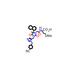 CSCCC(NC(=O)CN1C(=O)N(Cc2cncn2Cc2ccc(C#N)cc2)C(=O)C1(C)c1cccc2ccccc12)C(=O)O